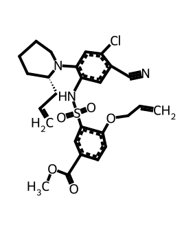 C=CCOc1ccc(C(=O)OC)cc1S(=O)(=O)Nc1cc(C#N)c(Cl)cc1N1CCCC[C@H]1CC=C